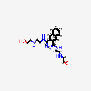 OCCNCCNc1nnc(NCCNCCO)c2cc3ccccc3cc12